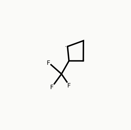 FC(F)(F)C1[CH]CC1